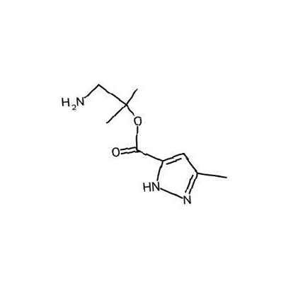 Cc1cc(C(=O)OC(C)(C)CN)[nH]n1